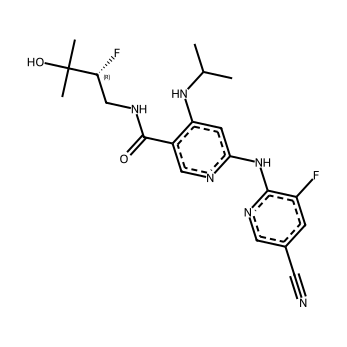 CC(C)Nc1cc(Nc2ncc(C#N)cc2F)ncc1C(=O)NC[C@@H](F)C(C)(C)O